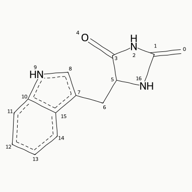 C=C1NC(=O)C(Cc2c[nH]c3ccccc23)N1